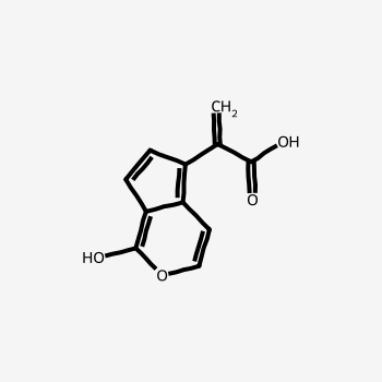 C=C(C(=O)O)c1ccc2c(O)occc1-2